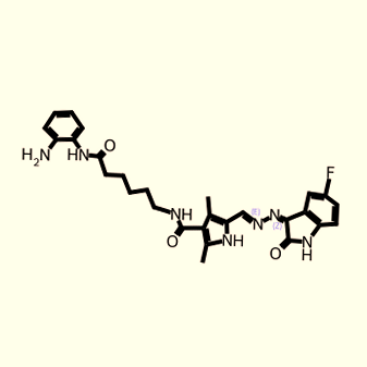 Cc1[nH]c(/C=N/N=C2\C(=O)Nc3ccc(F)cc32)c(C)c1C(=O)NCCCCCC(=O)Nc1ccccc1N